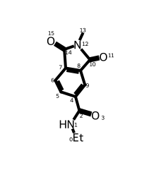 CCNC(=O)c1ccc2c(c1)C(=O)N(C)C2=O